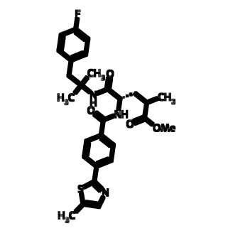 COC(=O)C(C)C[C@H](NC(=O)c1ccc(-c2ncc(C)s2)cc1)C(=O)NC(C)(C)Cc1ccc(F)cc1